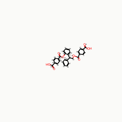 O=C(O)c1ccc(C(=O)OCC(c2ccccc2)c2ccccc2OC(=O)c2ccc(C(=O)O)cc2)cc1